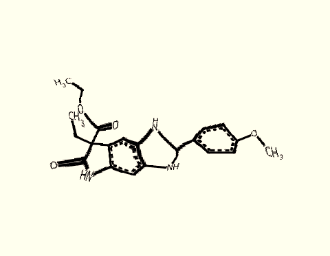 CCOC(=O)C1(CC)C(=O)Nc2cc3c(cc21)NC(c1ccc(OC)cc1)N3